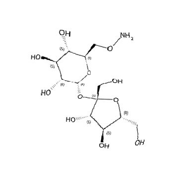 NOC[C@H]1O[C@H](O[C@]2(CO)O[C@H](CO)[C@@H](O)[C@@H]2O)[C@H](O)[C@@H](O)[C@@H]1O